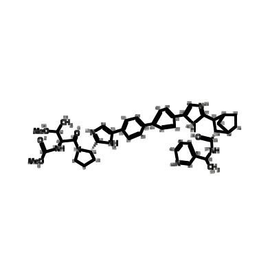 COC(=O)N[C@H](C(=O)N1CCC[C@H]1c1ncc(-c2ccc(-c3ccc(-c4cnc(C5C6CCC(C6)[C@@H]5C(=O)NC(C)c5cccnc5)[nH]4)cc3)cc2)[nH]1)C(C)OC